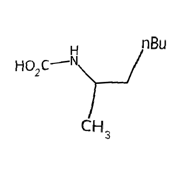 CCCCCC(C)NC(=O)O